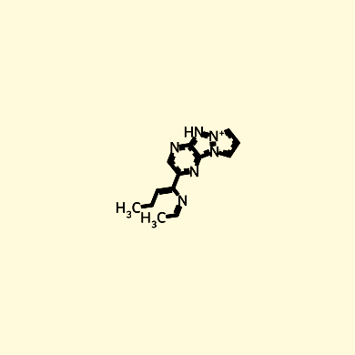 C/C=N\C(=C/CC)c1cnc2[nH][n+]3cccn3c2n1